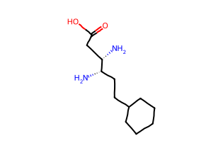 N[C@@H](CCC1CCCCC1)[C@@H](N)CC(=O)O